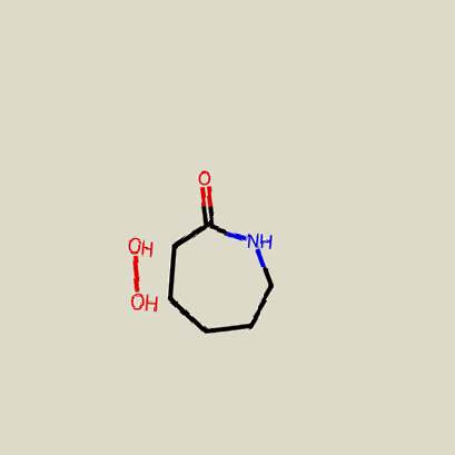 O=C1CCCCCN1.OO